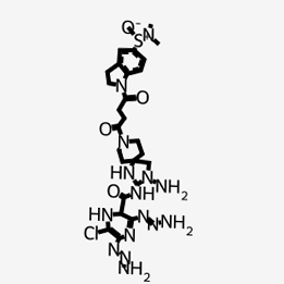 CN(C)[S+]([O-])c1ccc2c(c1)CCN2C(=O)CCC(=O)N1CCC2(CC1)CN(N)C(NC(=O)C1NC(Cl)=C(N=NN)N=C1N=NN)N2